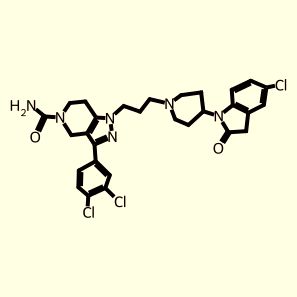 NC(=O)N1CCc2c(c(-c3ccc(Cl)c(Cl)c3)nn2CCCN2CCC(N3C(=O)Cc4cc(Cl)ccc43)CC2)C1